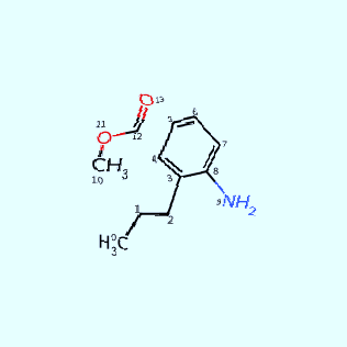 CCCc1ccccc1N.COC=O